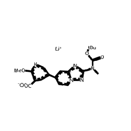 COc1ncc(-c2ccn3nc(N(C)C(=O)OC(C)(C)C)nc3c2)cc1C(=O)[O-].[Li+]